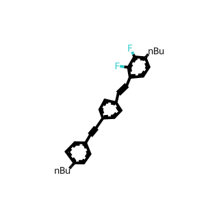 CCCCc1ccc(C#Cc2ccc(C#Cc3ccc(CCCC)c(F)c3F)cc2)cc1